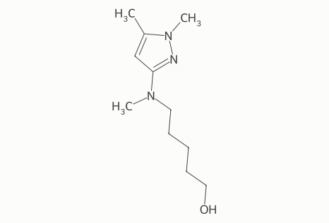 Cc1cc(N(C)CCCCCO)nn1C